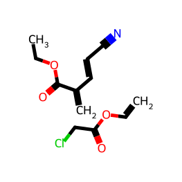 C=C(C=CC#N)C(=O)OCC.C=COC(=O)CCl